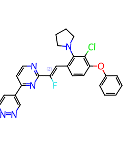 F/C(=C\c1ccc(Oc2ccccc2)c(Cl)c1N1CCCC1)c1nccc(-c2ccnnc2)n1